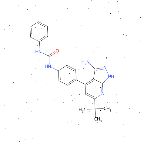 CC(C)(C)c1cc(-c2ccc(NC(=O)Nc3ccccc3)cc2)c2c(N)n[nH]c2n1